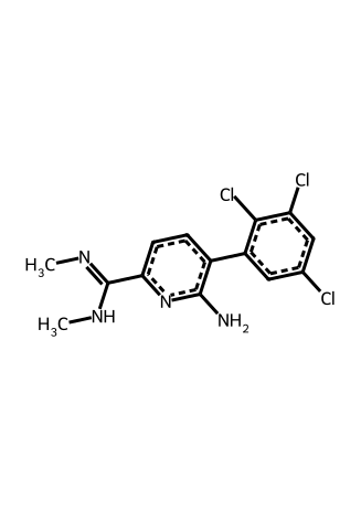 C/N=C(\NC)c1ccc(-c2cc(Cl)cc(Cl)c2Cl)c(N)n1